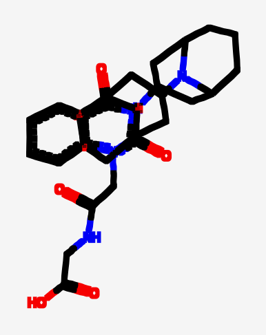 O=C(O)CNC(=O)Cn1c(=O)n(C2CC3CCCC(C2)N3C2CC3CCCC(C3)C2)c(=O)c2ccccc21